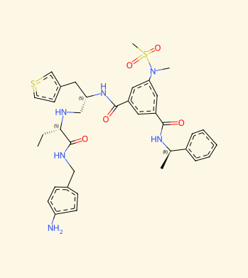 CC[C@H](NC[C@H](Cc1ccsc1)NC(=O)c1cc(C(=O)N[C@H](C)c2ccccc2)cc(N(C)S(C)(=O)=O)c1)C(=O)NCc1ccc(N)cc1